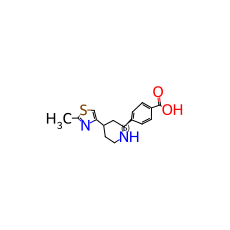 Cc1nc(C2CCN[C@H](c3ccc(C(=O)O)cc3)C2)cs1